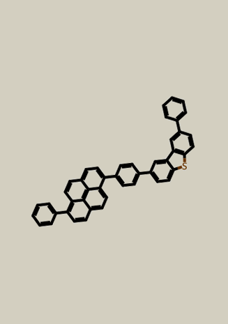 c1ccc(-c2ccc3sc4ccc(-c5ccc(-c6ccc7ccc8c(-c9ccccc9)ccc9ccc6c7c98)cc5)cc4c3c2)cc1